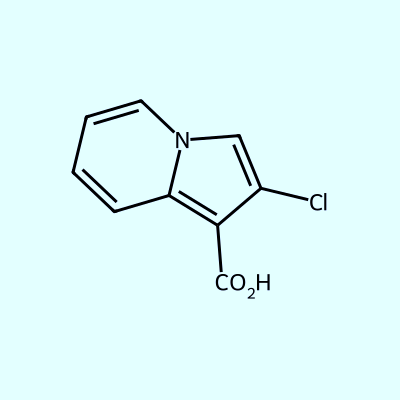 O=C(O)c1c(Cl)cn2ccccc12